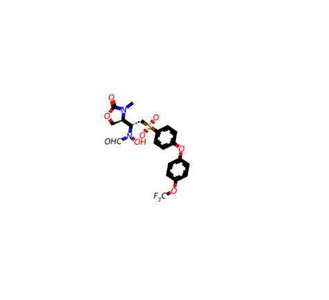 CN1C(=O)OC[C@@H]1[C@H](CS(=O)(=O)c1ccc(Oc2ccc(OC(F)(F)F)cc2)cc1)N(O)C=O